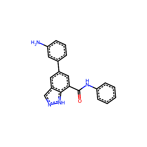 Nc1cccc(-c2cc(C(=O)Nc3ccccc3)c3[nH]ncc3c2)c1